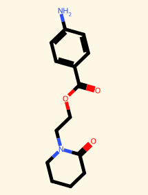 Nc1ccc(C(=O)OCCN2CCCCC2=O)cc1